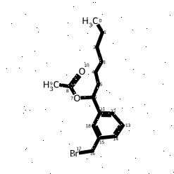 CCCCCCC(OC(C)=O)c1cccc(CBr)c1